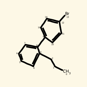 CCCc1ccccc1-c1ccc(Br)cc1